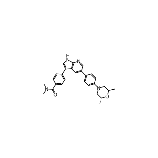 C[C@@H]1CN(c2ccc(-c3cnc4[nH]cc(-c5ccc(C(=O)N(C)C)cc5)c4c3)cc2)C[C@@H](C)O1